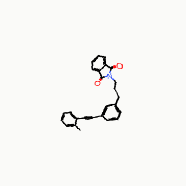 Cc1ccccc1C#Cc1cccc(CCCN2C(=O)c3ccccc3C2=O)c1